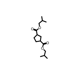 CC(C)COC(=O)C1CCC(C(=O)OCC(C)C)C1